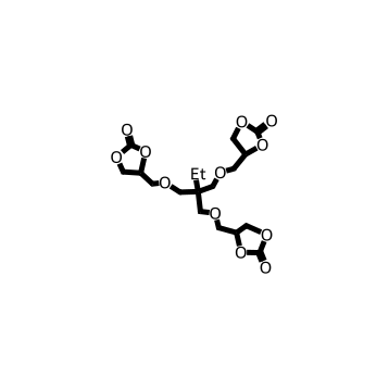 CCC(COCC1COC(=O)O1)(COCC1COC(=O)O1)COCC1COC(=O)O1